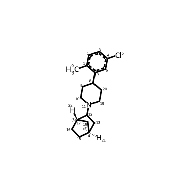 Cc1ccc(Cl)cc1C1CCN(C2C[C@H]3CC[C@H]2C3)CC1